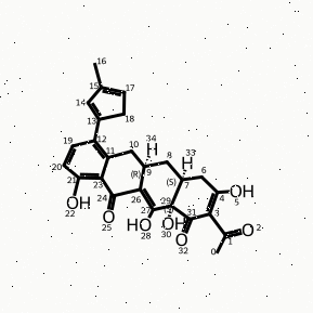 CC(=O)C1=C(O)C[C@@H]2C[C@@H]3Cc4c(C5=CC(C)=CC5)ccc(O)c4C(=O)C3=C(O)[C@]2(O)C1=O